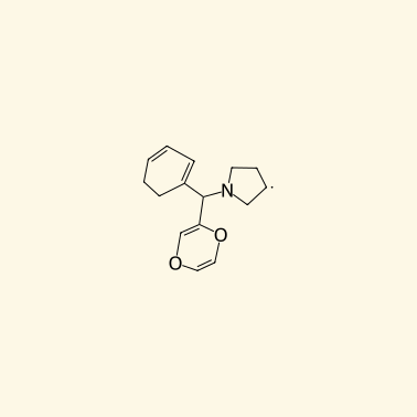 [CH]1CCN(C(C2=CC=CCC2)C2=COC=CO2)C1